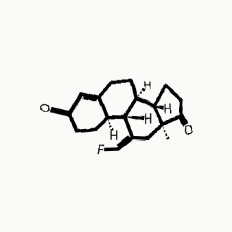 C[C@]12C/C(=C/F)[C@H]3[C@@H](CCC4=CC(=O)CC[C@@H]43)[C@@H]1CCC2=O